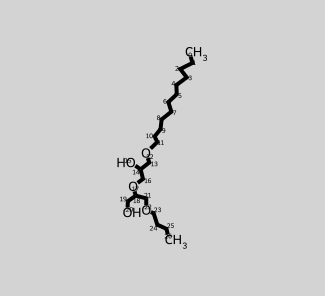 CCCCCCCCCCCCOCC(O)COC(CO)COCCCC